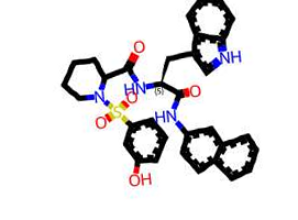 O=C(N[C@@H](Cc1c[nH]c2ccccc12)C(=O)Nc1ccc2ccccc2c1)C1CCCCN1S(=O)(=O)c1cccc(O)c1